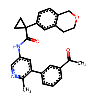 CC(=O)c1cccc(-c2cc(NC(=O)C3(c4ccc5c(c4)CCOC5)CC3)cnc2C)c1